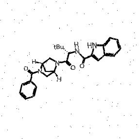 CC(C)(C)[C@H](NC(=O)c1cc2ccccc2[nH]1)C(=O)N1C[C@@H]2C[C@H]1CN2C(=O)c1ccccc1